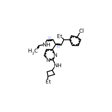 C=CN/C=C\C(=C/C(CC)c1cccc(Cl)c1)c1ccnc(NC2CC(CC)C2)n1